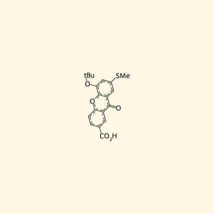 CSc1cc(OC(C)(C)C)c2oc3ccc(C(=O)O)cc3c(=O)c2c1